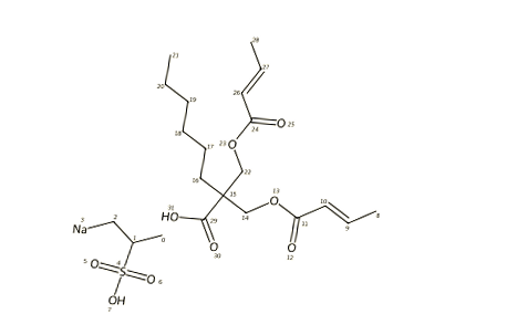 CC([CH2][Na])S(=O)(=O)O.CC=CC(=O)OCC(CCCCCC)(COC(=O)C=CC)C(=O)O